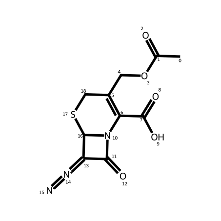 CC(=O)OCC1=C(C(=O)O)N2C(=O)C(=[N+]=[N-])C2SC1